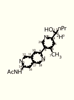 [2H][C@@](O)(CCC)c1cc(C)c(-c2cc3cnc(NC(C)=O)cc3cn2)cn1